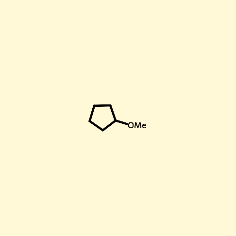 [CH2]OC1CCCC1